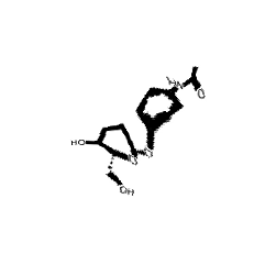 CC(=O)Nc1ccc(O[C@@H]2CCC(O)[C@@H](CO)O2)cc1